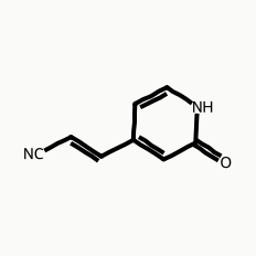 N#CC=Cc1cc[nH]c(=O)c1